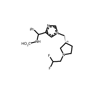 CC(C)C(NC(=O)O)c1cn(C[C@@H]2CCN(CC(F)F)C2)cn1